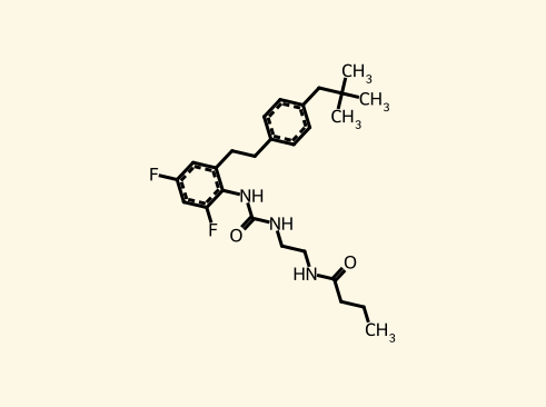 CCCC(=O)NCCNC(=O)Nc1c(F)cc(F)cc1CCc1ccc(CC(C)(C)C)cc1